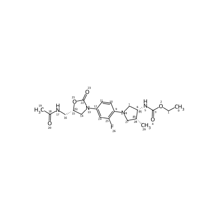 CCOC(=O)N[C@H]1CN(c2ccc(N3C[C@H](CNC(C)=O)OC3=O)cc2F)C[C@H]1C